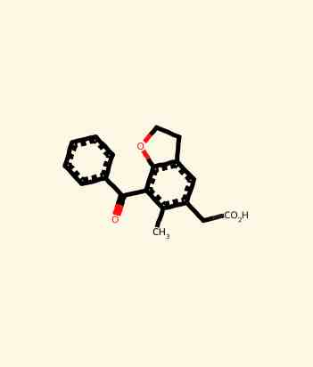 Cc1c(CC(=O)O)cc2c(c1C(=O)c1ccccc1)OCC2